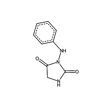 O=C1CNC(=O)N1Nc1ccccc1